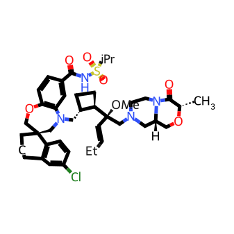 CC/C=C/[C@](CN1CCN2C(=O)[C@H](C)OC[C@@H]2C1)(OC)[C@@H]1CC[C@H]1CN1C[C@@]2(CCCc3cc(Cl)ccc32)COc2ccc(C(=O)NS(=O)(=O)C(C)C)cc21